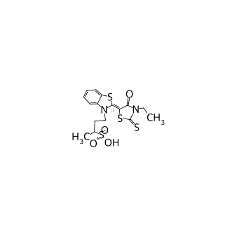 CCN1C(=O)/C(=C2\Sc3ccccc3N2CCC(C)S(=O)(=O)O)SC1=S